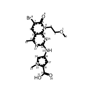 COCCn1c(=O)c(Br)cc2c(C)nc(Nc3cc(C(=O)O)n(C)c3)nc21